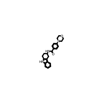 O=C(NC1CCc2[nH]c3ccccc3c2C1)c1ccc(N2CCOCC2)cc1